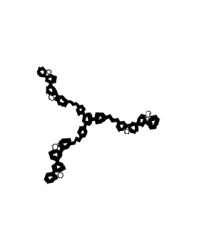 C1=CC2Oc3ccc(-c4ccc5oc6ccc(CCCc7ccc(-c8cc(-c9ccc(CCCc%10ccc%11oc%12ccc(-c%13ccc%14oc%15ccccc%15c%14c%13)cc%12c%11c%10)cc9)cc(-c9ccc(CCCc%10ccc%11oc%12ccc(-c%13ccc%14oc%15ccccc%15c%14c%13)cc%12c%11c%10)cc9)c8)cc7)cc6c5c4)cc3C2C=C1